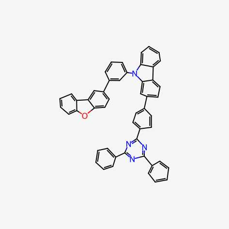 c1ccc(-c2nc(-c3ccccc3)nc(-c3ccc(-c4ccc5c6ccccc6n(-c6cccc(-c7ccc8oc9ccccc9c8c7)c6)c5c4)cc3)n2)cc1